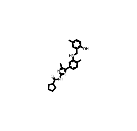 Cc1ccc(O)c(CNc2cc(-c3sc(NC(=O)C4CCCC4)nc3C)ccc2C)c1